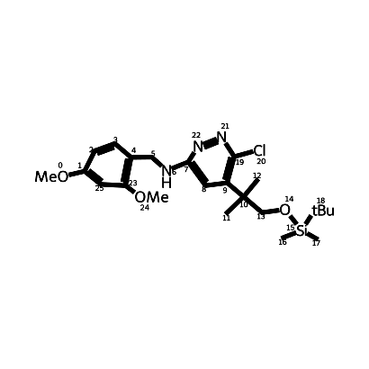 COc1ccc(CNc2cc(C(C)(C)CO[Si](C)(C)C(C)(C)C)c(Cl)nn2)c(OC)c1